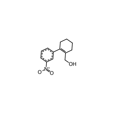 O=[N+]([O-])c1cccc(C2=C(CO)CCCC2)c1